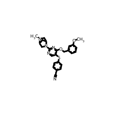 COc1cccc(COc2nc(N3CC4CC3CN4C)ncc2Sc2ccc(C#N)cc2)c1